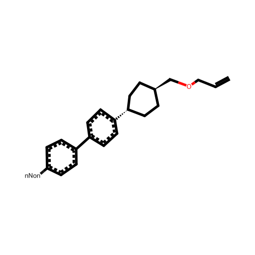 C=CCOC[C@H]1CC[C@H](c2ccc(-c3ccc(CCCCCCCCC)cc3)cc2)CC1